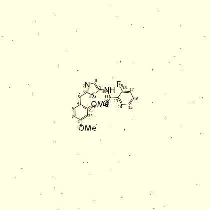 COc1ccc(Cc2ncc(NC(=O)c3ccccc3F)s2)c(OC)c1